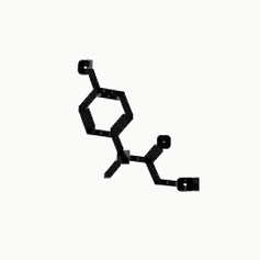 CN(C(=O)CC#N)c1ccc(Cl)cc1